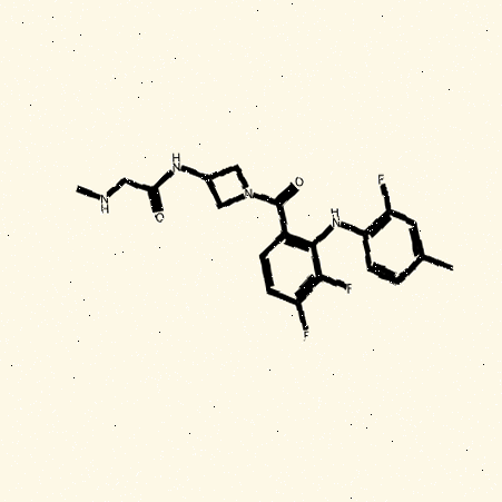 CNCC(=O)NC1CN(C(=O)c2ccc(F)c(F)c2Nc2ccc(C)cc2F)C1